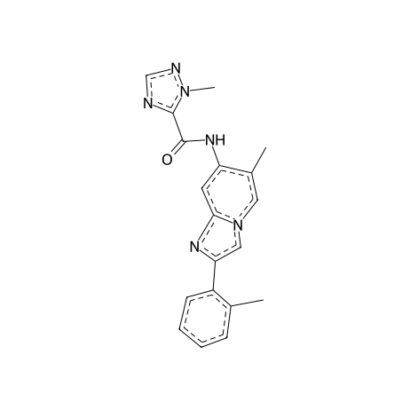 Cc1cn2cc(-c3ccccc3C)nc2cc1NC(=O)c1ncnn1C